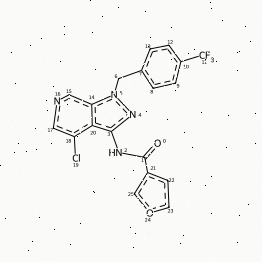 O=C(Nc1nn(Cc2ccc(C(F)(F)F)cc2)c2cncc(Cl)c12)c1ccoc1